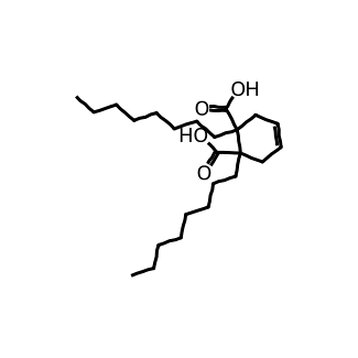 CCCCCCCCC1(C(=O)O)CC=CCC1(CCCCCCCC)C(=O)O